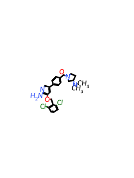 CN(C)[C@@H]1CCN(C(=O)c2ccc(-c3cnc(N)c(OCc4c(Cl)cccc4Cl)c3)cc2)C1